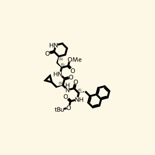 COC(=O)[C@H](C[C@@H]1CCCNC1=O)NC(=O)[C@H](CC1CC1)NC(=O)[C@H](Cc1cccc2ccccc12)NC(=O)OC(C)(C)C